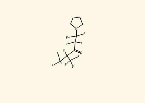 O=C(C(F)(F)C(F)(F)N1CCCC1)C(F)(C(F)(F)F)C(F)(F)F